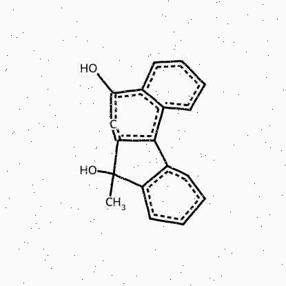 CC1(O)c2ccccc2-c2c1cc(O)c1ccccc21